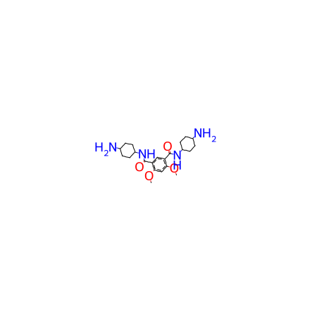 COc1cc(OC)c(C(=O)NC2CCC(N)CC2)cc1C(=O)NC1CCC(N)CC1